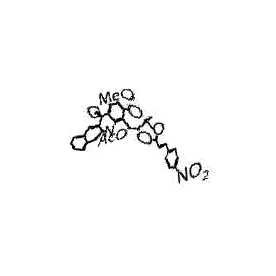 COc1cc2c(c3c1c(=O)c1cc4ccccc4cc1n3C)[C@H](OC(C)=O)[C@H](OC(=O)C=Cc1ccc([N+](=O)[O-])cc1)C(C)(C)O2